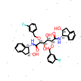 O=C(N[C@H]1c2ccccc2C[C@H]1O)[C@H](OCc1cccc(F)c1)[C@H](O)[C@@H](O)[C@@H](OCc1cccc(F)c1)C(=O)N[C@H]1c2ccccc2C[C@H]1O